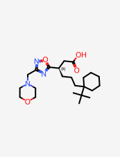 CC(C)(C)C1(CCC[C@H](CC(=O)O)c2nc(CN3CCOCC3)no2)CCCCC1